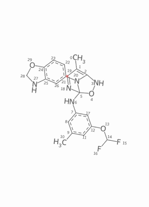 CC1=C2NOC(Nc3cc(C)cc(OC(F)F)c3)(N=C1)N2c1ccc2c(c1)NCO2